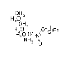 N.O.O.O.O.O.O.O=[N+]([O-])[O-].[Fe]